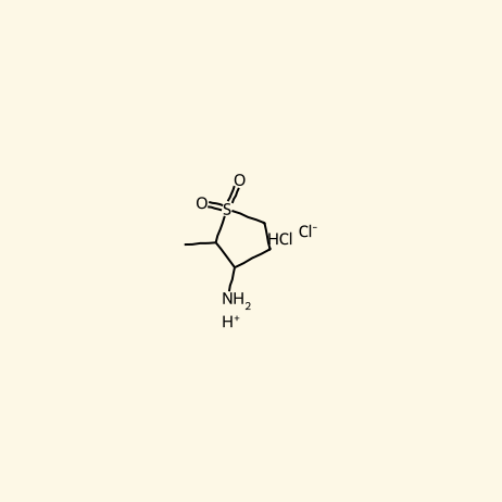 CC1C(N)CCS1(=O)=O.Cl.[Cl-].[H+]